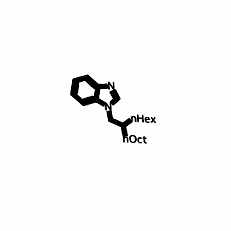 CCCCCCCCC(CCCCCC)Cn1cnc2ccccc21